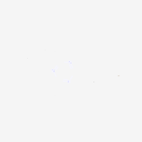 Brc1ccc(-c2nc(-c3ccccc3-c3ccccc3)nc(-c3ccccc3-c3ccccc3)n2)cc1